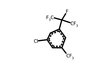 FC(F)(F)c1cc(Cl)cc(C(F)(C(F)(F)F)C(F)(F)F)c1